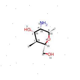 C[C@H]1[C@H](O)[C@H](N)[C@H](C)O[C@@H]1CO